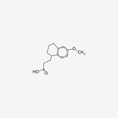 COc1ccc2c(c1)CCCC2CCC(=O)O